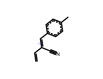 C=C/C(C#N)=C/c1ccc(C)cc1